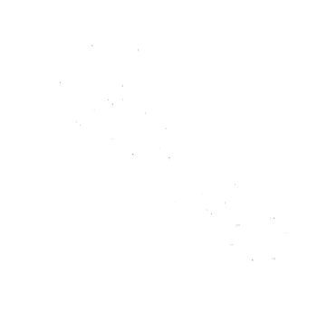 c1ccc(N(c2ccc(-c3ccc(-n4c5ccccc5c5ccccc54)cc3)cc2)c2cccc3ccccc23)cc1